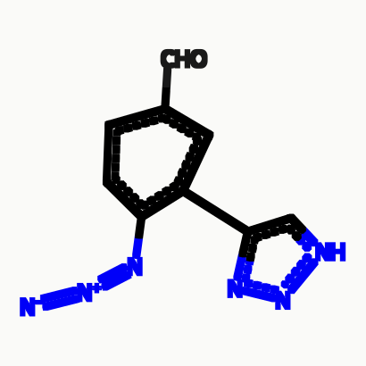 [N-]=[N+]=Nc1ccc(C=O)cc1-c1c[nH]nn1